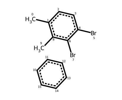 Cc1ccc(Br)c(Br)c1C.c1ccccc1